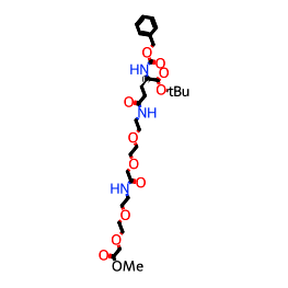 COC(=O)COCCOCCNC(=O)COCCOCCNC(=O)CC[C@@H](NC(=O)OCc1ccccc1)C(=O)OC(C)(C)C